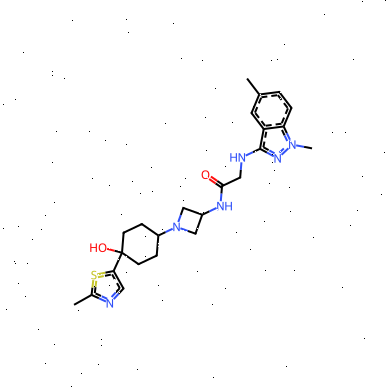 Cc1ccc2c(c1)c(NCC(=O)NC1CN(C3CCC(O)(c4cnc(C)s4)CC3)C1)nn2C